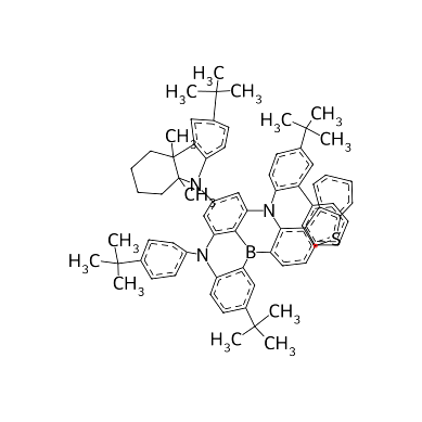 CC(C)(C)c1ccc(N2c3ccc(C(C)(C)C)cc3B3c4ccc5sc6ccccc6c5c4N(c4ccc(C(C)(C)C)cc4-c4ccccc4)c4cc(N5c6ccc(C(C)(C)C)cc6C6(C)CCCCC56C)cc2c43)cc1